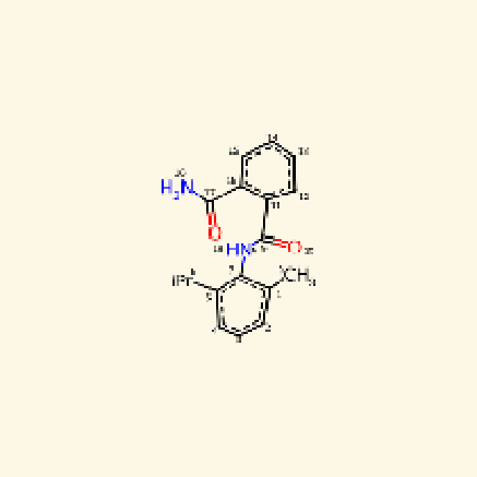 Cc1cccc(C(C)C)c1NC(=O)c1ccccc1C(N)=O